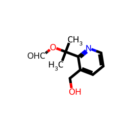 CC(C)(OC=O)c1ncccc1CO